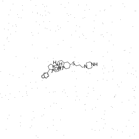 C[C@]12CCC(SCCCN3CCNCC3)CC1CC[C@@H]1[C@H]2CC[C@]2(C)C(c3ccoc3)CC[C@@]12O